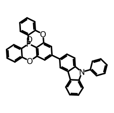 O=P12c3ccccc3Oc3cc(-c4ccc5c(c4)c4ccccc4n5-c4ccccc4)cc(c31)Oc1ccccc12